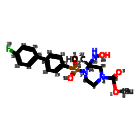 CC(C)(C)OC(=O)N1CCN(S(=O)(=O)c2ccc(-c3ccc(F)cc3)cc2)[C@@](NO)(C(=O)O)C1